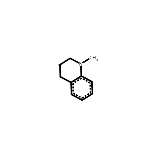 CN1C[C]Cc2ccccc21